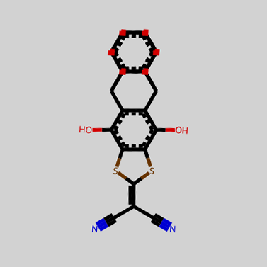 N#CC(C#N)=C1Sc2c(O)c3c(c(O)c2S1)C1c2ccccc2C3c2ccccc21